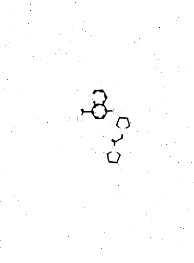 CNC(=O)c1ccc(N[C@H]2CCN(CC(=O)N3C[C@@H](F)C[C@H]3C#N)C2)c2cccnc12